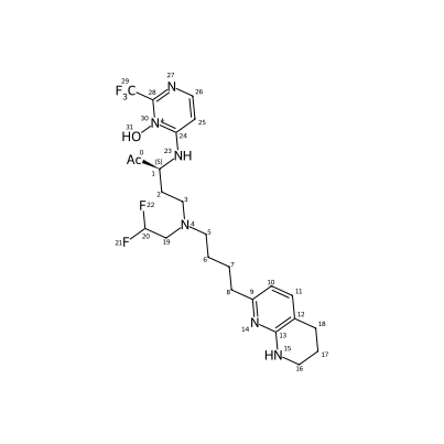 CC(=O)[C@H](CCN(CCCCc1ccc2c(n1)NCCC2)CC(F)F)Nc1ccnc(C(F)(F)F)[n+]1O